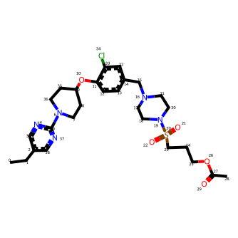 CCc1cnc(N2CCC(Oc3ccc(CN4CCN(S(=O)(=O)CCCOC(C)=O)CC4)cc3Cl)CC2)nc1